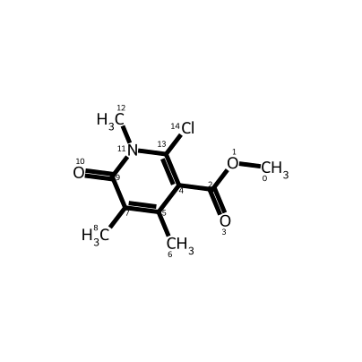 COC(=O)c1c(C)c(C)c(=O)n(C)c1Cl